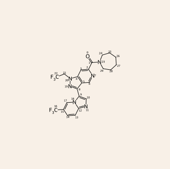 O=C(c1cc2c(cn1)c(-c1cnc3ccc(C(F)(F)F)cn13)nn2CC(F)(F)F)N1CCCCCC1